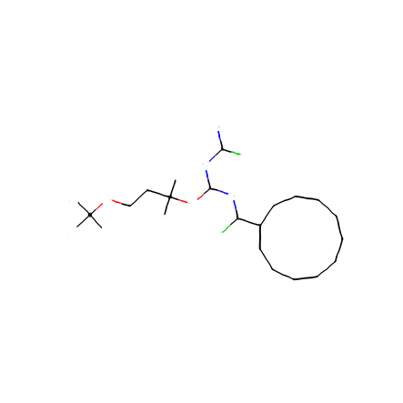 CC(C)(C)OCCC(C)(C)OC(NC(N)Cl)NC(Cl)C1CCCCCCCCCC1